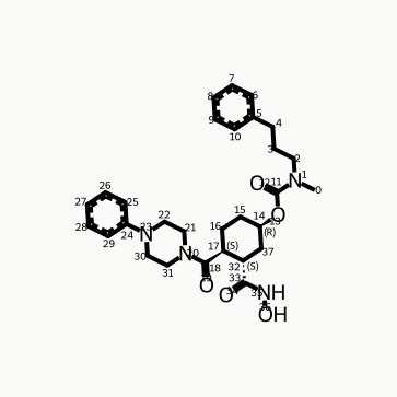 CN(CCCc1ccccc1)C(=O)O[C@@H]1CC[C@H](C(=O)N2CCN(c3ccccc3)CC2)[C@@H](C(=O)NO)C1